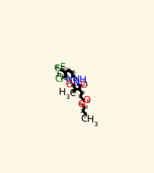 CCCCOC(=O)CCC1C(=O)N(Nc2ccc(C(F)(F)F)c(Cl)n2)C(=O)C1C